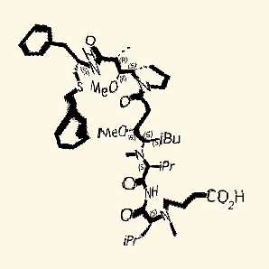 CC[C@H](C)[C@@H]([C@@H](CC(=O)N1CCC[C@H]1[C@H](OC)[C@@H](C)C(=O)N[C@H](CSCc1ccccc1)Cc1ccccc1)OC)N(C)[C@H](C(=O)NC(=O)[C@H](C(C)C)N(C)CCCC(=O)O)C(C)C